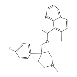 Cc1ccc2cccnc2c1C(C)OCC1(c2ccc(F)cc2)CCN(C)CC1